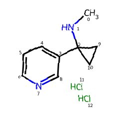 CNC1(c2cccnc2)CC1.Cl.Cl